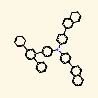 C1=CCCC(c2ccc(-c3ccccc3)c(-c3ccc(N(c4ccc(-c5ccc6c(c5)C=CCC6)cc4)c4ccc(-c5ccc6ccccc6c5)cc4)cc3)c2)=C1